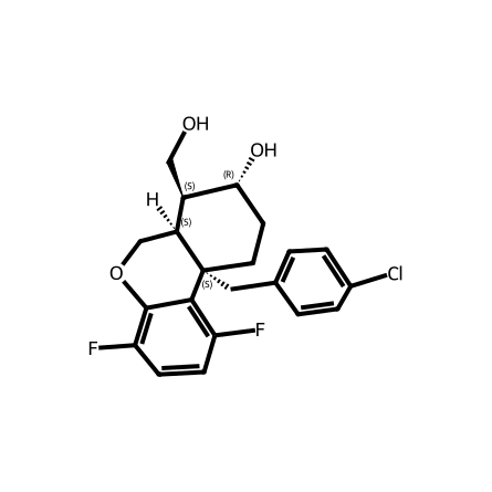 OC[C@H]1[C@H](O)CC[C@@]2(Cc3ccc(Cl)cc3)c3c(F)ccc(F)c3OC[C@@H]12